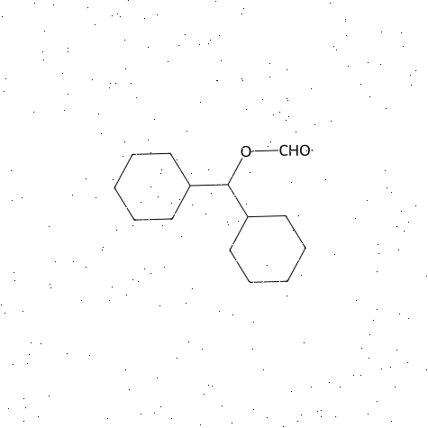 O=[C]OC(C1CCCCC1)C1CCCCC1